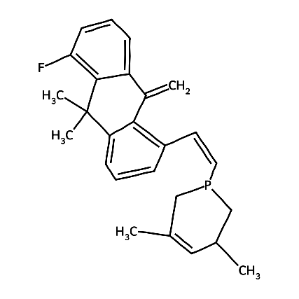 C=C1c2cccc(F)c2C(C)(C)c2cccc(/C=C\P3CC(C)=CC(C)C3)c21